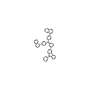 c1ccc(-n2c3ccccc3c3cc(-c4cccc(N(c5ccc(-c6cccc7ccccc67)cc5)c5ccc(-c6cccc7ccccc67)cc5)c4)ccc32)cc1